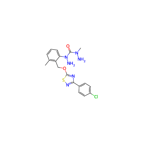 Cc1cccc(N(N)C(=O)N(C)N)c1COc1nc(-c2ccc(Cl)cc2)ns1